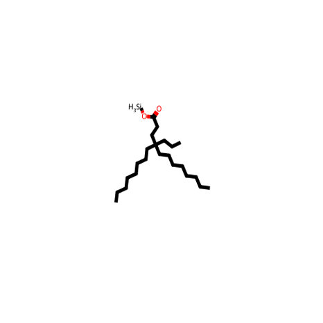 CCCCCCCCC(CCC)(CCCCCCCC)CCC(=O)O[SiH3]